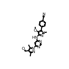 COc1c(Nc2cc(-n3nc(C)c(C=O)c3C)ncn2)nn(C)c1-c1ccc(C#N)cc1